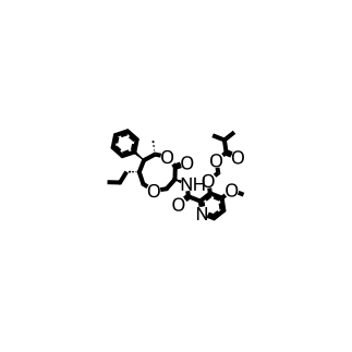 CCC[C@H]1COC[C@H](NC(=O)c2nccc(OC)c2OCOC(=O)C(C)C)C(=O)O[C@@H](C)[C@@H]1c1ccccc1